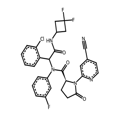 N#Cc1ccnc(N2C(=O)CC[C@H]2C(=O)N(c2cccc(F)c2)C(C(=O)NC2CC(F)(F)C2)c2ccccc2Cl)c1